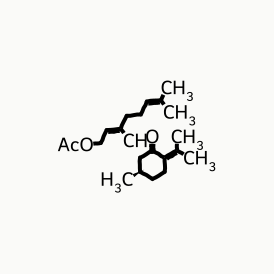 CC(=O)OC/C=C(\C)CCC=C(C)C.CC(C)=C1CC[C@@H](C)CC1=O